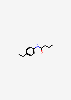 [CH2]Cc1ccc(NC(=O)CCC)cc1